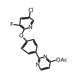 CC(=O)Oc1ccnc(-c2ccc(Oc3ncc(Cl)cc3F)cc2)n1